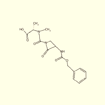 C[C@@H](C(=O)O)N(C)C(=O)N1CC(NC(=O)OCc2ccccc2)C1=O